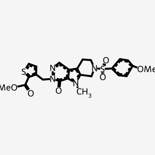 COC(=O)c1sccc1Cn1ncc2c3c(n(C)c2c1=O)CN(S(=O)(=O)c1ccc(OC)cc1)CC3